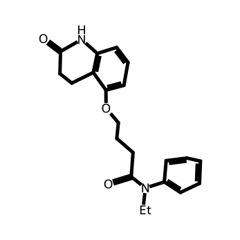 CCN(C(=O)CCCOc1cccc2c1CCC(=O)N2)c1ccccc1